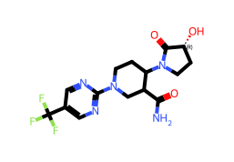 NC(=O)C1CN(c2ncc(C(F)(F)F)cn2)CCC1N1CC[C@@H](O)C1=O